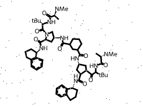 CN[C@@H](C)C(=O)NC(C(=O)C1C[C@@H](NC(=O)C2CCCC(C(=O)N[C@H]3CC(C(=O)N[C@@H]4CCCc5ccccc54)N(C(=O)[C@@H](NC(=O)[C@H](C)NC)C(C)(C)C)C3)C2)CC1C(=O)N[C@@H]1CCCc2ccccc21)C(C)(C)C